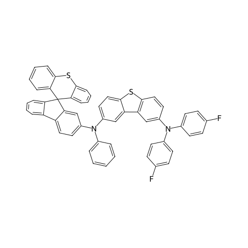 Fc1ccc(N(c2ccc(F)cc2)c2ccc3sc4ccc(N(c5ccccc5)c5ccc6c(c5)C5(c7ccccc7Sc7ccccc75)c5ccccc5-6)cc4c3c2)cc1